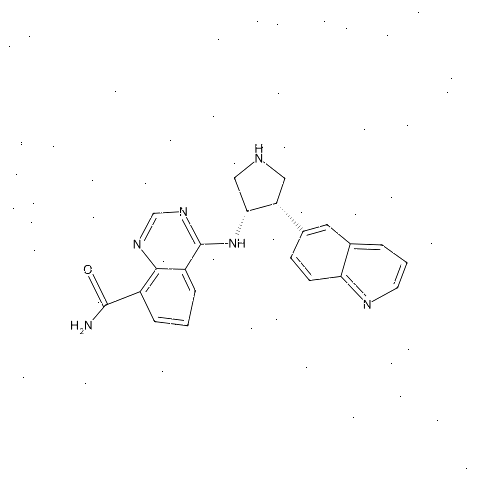 NC(=O)c1cccc2c(N[C@@H]3CNC[C@@H]3c3ccc4ncccc4c3)ncnc12